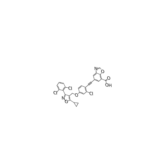 O=C(O)c1cc(C#Cc2ccc(OCc3c(-c4c(Cl)cccc4Cl)noc3C3CC3)cc2Cl)cc2ncoc12